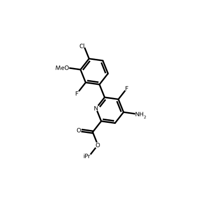 COc1c(Cl)ccc(-c2nc(C(=O)OC(C)C)cc(N)c2F)c1F